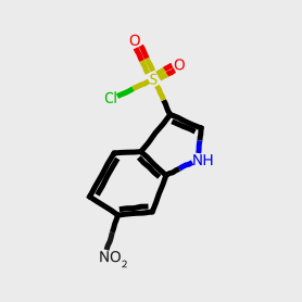 O=[N+]([O-])c1ccc2c(S(=O)(=O)Cl)c[nH]c2c1